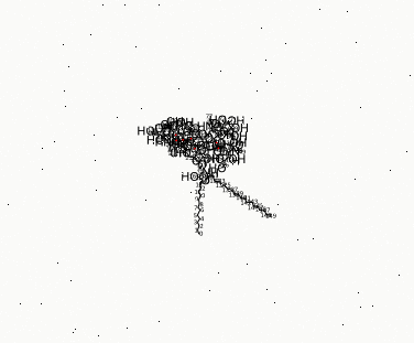 CCCCCCCCCCCCC/C=C/[C@@H](O)[C@H](CO[C@@H]1OC(CO)[C@@H](O[C@@H]2OC(CO)[C@H](O[C@@H]3OC(CO[C@]4(C(=O)O)CC(O)[C@@H](NC(C)=O)C([C@H](O)[C@H](O)CO)O4)[C@H](O)[C@H](O[C@@H]4OC(CO)[C@H](O)[C@H](O)C4O)C3NC(C)=O)[C@H](O[C@]3(C(=O)O)CC(O)[C@@H](NC(C)=O)C([C@H](O)[C@@H](CO)O[C@]4(C(=O)O)CC(O)[C@@H](NC(=O)CO)C([C@H](O)[C@H](O)CO)O4)O3)C2O)[C@H](O)C1O)NC(=O)CCCCCCCCCCCCCCCCCCC